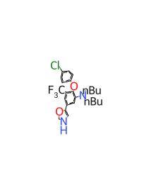 CCCCN(CCCC)c1cc(C2=CNCO2)cc(C(F)(F)F)c1Oc1ccc(Cl)cc1